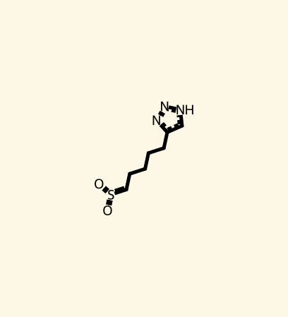 O=S(=O)=CCCCCc1c[nH]nn1